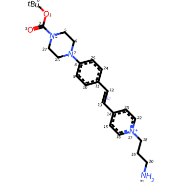 CC(C)(C)OC(=O)N1CCN(c2ccc(/C=C/c3cc[n+](CCCN)cc3)cc2)CC1